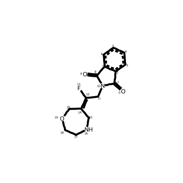 O=C1c2ccccc2C(=O)N1C/C(F)=C1\CNCCOC1